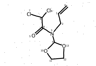 C=CCN(C(=O)C(Cl)Cl)C1OCCO1